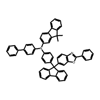 CC1(C)c2ccccc2-c2ccc(N(c3ccc(-c4ccccc4)cc3)c3ccc(C4(c5ccc6nc(-c7ccccc7)oc6c5)c5ccccc5-c5ccccc54)cc3)cc21